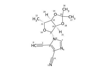 C#Cc1c(C#N)ncn1[C@@H]1O[C@H](C)[C@H]2OC(C)(C)O[C@H]21